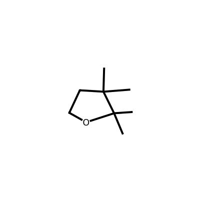 CC1(C)CCOC1(C)C